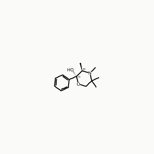 C[C@H]1N(C)C(C)(C)CO[C@@]1(O)c1ccccc1